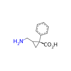 NCC1C[C@@]1(C(=O)O)c1ccccc1